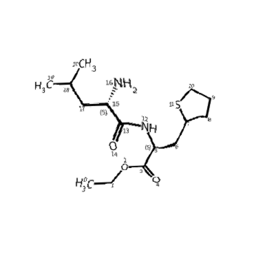 CCOC(=O)[C@H](CC1CCCS1)NC(=O)[C@@H](N)CC(C)C